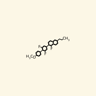 CCCc1ccc2c(F)c(-c3cc(F)c(-c4ccc(OC)cc4)c(F)c3)ccc2c1